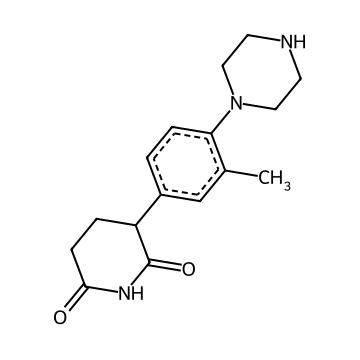 Cc1cc(C2CCC(=O)NC2=O)ccc1N1CCNCC1